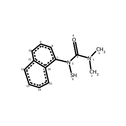 CN(C)C(=O)N(S)c1cccc2ccccc12